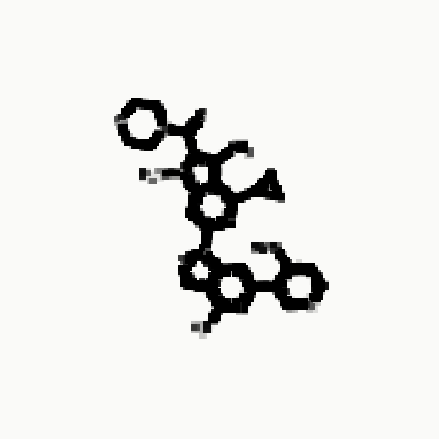 COc1ccncc1-c1cc2c(cnn2-c2cc3c(c(C4CC4)n2)c(C)c(C(=O)N2CCOCC2)n3C)c(C)n1